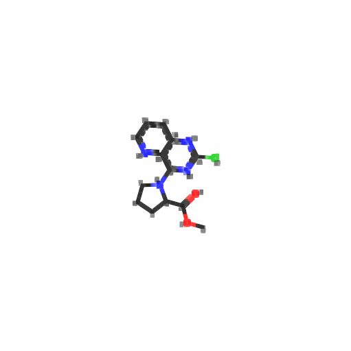 COC(=O)C1CCCN1c1nc(Cl)nc2cccnc12